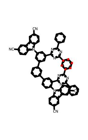 N#Cc1ccc2c(c1)c1cc(C#N)ccc1n2-c1cc(-c2cccc(-c3ccc(-n4c5ccc(C#N)cc5c5cc(C#N)ccc54)c(-c4nc(-c5ccccc5)nc(-c5ccccc5)n4)c3)c2)cc(-c2nc(-c3ccccc3)nc(-c3ccccc3)n2)c1